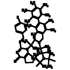 Bc1c(B)c(-c2c(B)c(B)c(C(F)(F)F)c(B)c2B)c(B)c(B)c1CN(C(=O)C(B)(B)n1c(SCc2ccc(F)cc2)nc(=O)c2c1CCC2)C(B)(B)C(B)(B)N(C(B)(B)C)C(B)(B)C